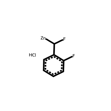 Cl.Fc1ccccc1[CH](F)[Zn]